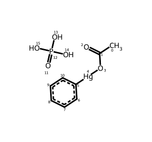 CC(=O)[O][Hg][c]1ccccc1.O=P(O)(O)O